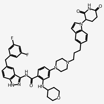 O=C1CCC(n2ccc3cc(CCCN4CCN(c5ccc(C(=O)Nc6n[nH]c7ccc(Cc8cc(F)cc(F)c8)cc67)c(NC6CCOCC6)c5)CC4)ccc32)C(=O)N1